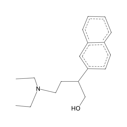 CCN(CC)CCC(CO)c1ccc2ccccc2c1